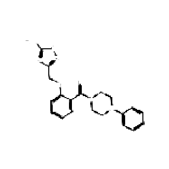 Cc1nc(CSc2ccccc2C(=O)N2CCN(c3ccccc3)CC2)no1